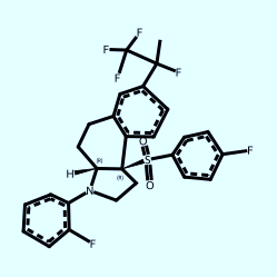 CC(F)(c1ccc2c(c1)CC[C@H]1N(c3ccccc3F)CC[C@@]21S(=O)(=O)c1ccc(F)cc1)C(F)(F)F